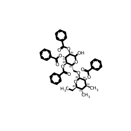 CC[C@H]1O[C@@H](OC[C@H]2OC(O)[C@H](OC(=O)c3ccccc3)[C@@H](OC(=O)c3ccccc3)[C@@H]2OC(=O)c2ccccc2)[C@H](OC(=O)c2ccccc2)[C@@H](C)[C@@H]1C